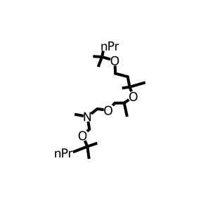 CCCC(C)(C)OCCC(C)(C)OC(C)COCN(C)COC(C)(C)CCC